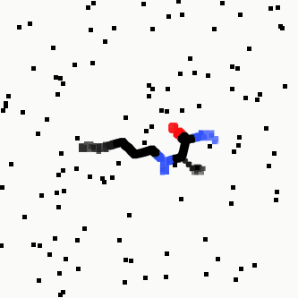 CCCCCCCCCCN[C@H](C(N)=O)C(C)C